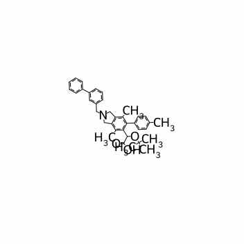 Cc1ccc(-c2c(C)c3c(c(C)c2C(OC(C)(C)C)C(=O)O)CN(Cc2cccc(-c4ccccc4)c2)C3)cc1